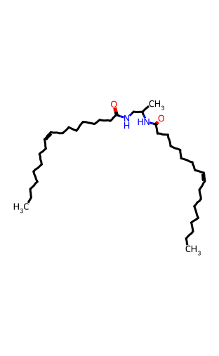 CCCCCCCC/C=C\CCCCCCCC(=O)NCC(C)NC(=O)CCCCCCC/C=C\CCCCCCCC